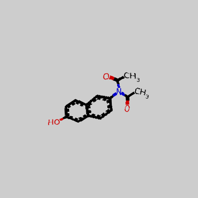 CC(=O)N(C(C)=O)c1ccc2cc(O)ccc2c1